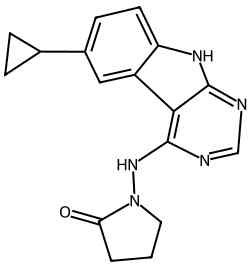 O=C1CCCN1Nc1ncnc2[nH]c3ccc(C4CC4)cc3c12